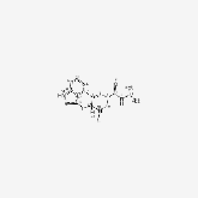 CCC(CC)NC(=O)C1C=C2c3cccc4[nH]cc(c34)C[C@H]2N(C)C1